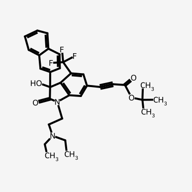 CCN(CC)CCN1C(=O)C(O)(c2ccc3ccccc3c2)c2c1cc(C#CC(=O)OC(C)(C)C)cc2C(F)(F)F